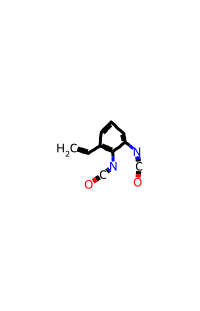 C=Cc1cccc(N=C=O)c1N=C=O